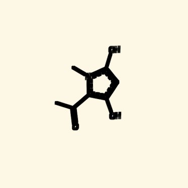 CC(=O)c1c(O)cc(O)n1C